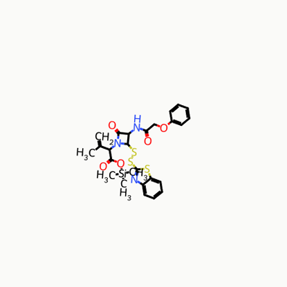 C=C(C)C(C(=O)O[Si](C)(C)C)N1C(=O)C(NC(=O)COc2ccccc2)C1SSc1nc2ccccc2s1